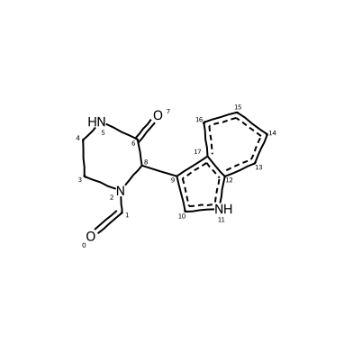 O=CN1CCNC(=O)C1c1c[nH]c2ccccc12